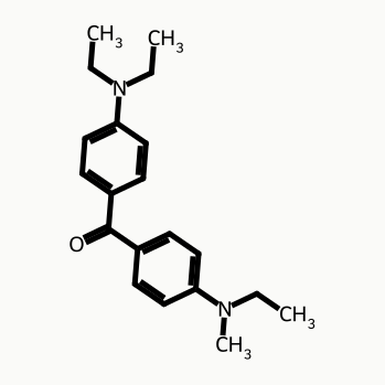 CCN(C)c1ccc(C(=O)c2ccc(N(CC)CC)cc2)cc1